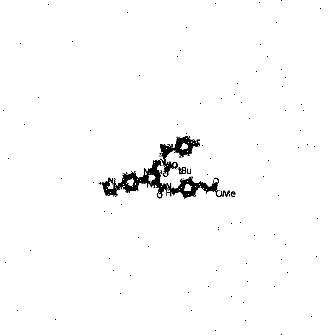 COC(=O)/C=C/c1ccc(CNC(=O)c2cc(CN(C(=O)OC(C)(C)C)[C@@H]3C[C@H]3c3ccc(F)cc3)nc(-c3ccc(-n4cccn4)cc3)n2)cc1